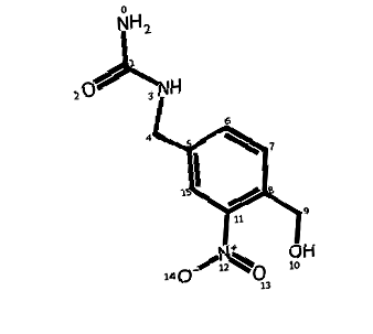 NC(=O)NCc1ccc(CO)c([N+](=O)[O-])c1